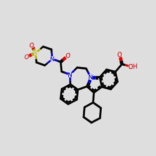 O=C(O)c1ccc2c(C3CCCCC3)c3n(c2c1)CCN(CC(=O)N1CCS(=O)(=O)CC1)c1ccccc1-3